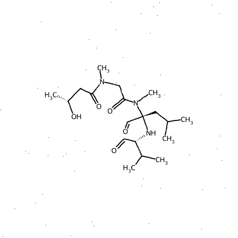 CC(C)C[C@](C=O)(N[C@@H](C=O)C(C)C)N(C)C(=O)CN(C)C(=O)C[C@@H](C)O